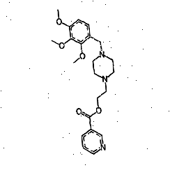 COc1ccc(CN2CCN(CCOC(=O)c3cccnc3)CC2)c(OC)c1OC